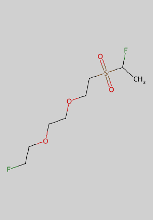 CC(F)S(=O)(=O)CCOCCOCCF